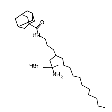 Br.CCCCCCCCCCCC(CCCNC(=O)C12CC3CC(CC(C3)C1)C2)CC(C)(C)N